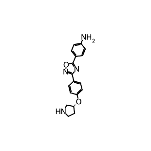 Nc1ccc(-c2nc(-c3ccc(O[C@@H]4CCNC4)cc3)no2)cc1